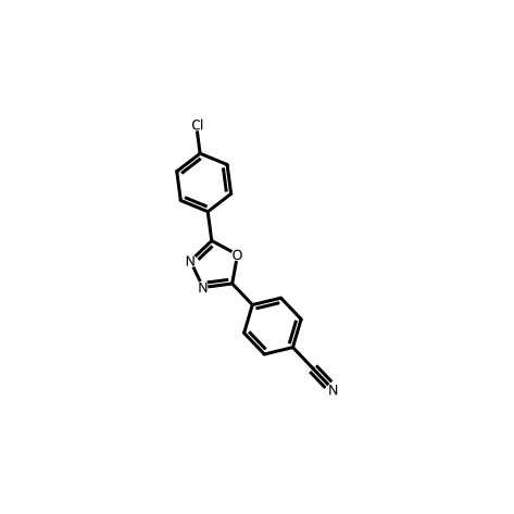 N#Cc1ccc(-c2nnc(-c3ccc(Cl)cc3)o2)cc1